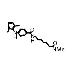 CNC(=O)CCCCCCNC(=O)c1ccc(Nc2c(C)cccc2C)cc1